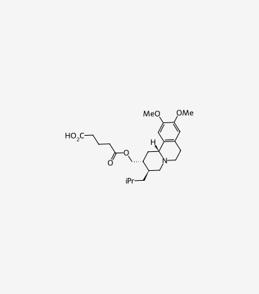 COc1cc2c(cc1OC)[C@H]1C[C@@H](COC(=O)CCCC(=O)O)[C@H](CC(C)C)CN1CC2